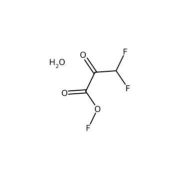 O.O=C(OF)C(=O)C(F)F